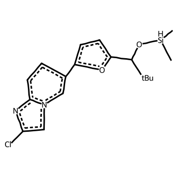 C[SiH](C)OC(c1ccc(-c2ccc3nc(Cl)cn3c2)o1)C(C)(C)C